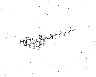 CCCCCCCCOCCCNC(=O)c1cccc(C2CCNCC2)c1